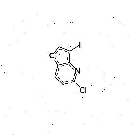 Clc1ccc2occ(I)c2n1